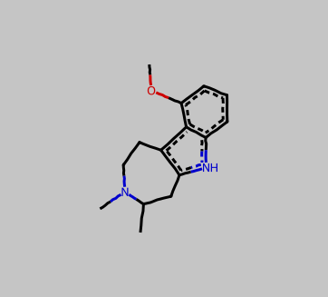 COc1cccc2[nH]c3c(c12)CCN(C)C(C)C3